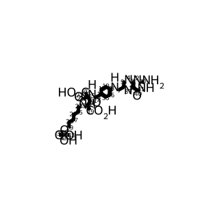 Nc1nc2ncc(CNc3ccc(C(=O)NC(CCC(=O)O)(C(=O)O)C(=O)NCCCCCCOP(=O)(O)O)cc3)nc2c(=O)[nH]1